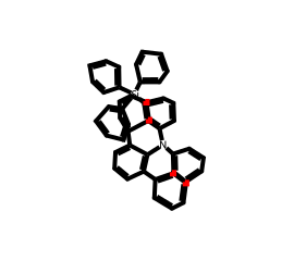 c1ccc(-c2cccc(-c3ccccc3)c2N(c2ccccc2)c2cccc([Si](c3ccccc3)(c3ccccc3)c3ccccc3)c2)cc1